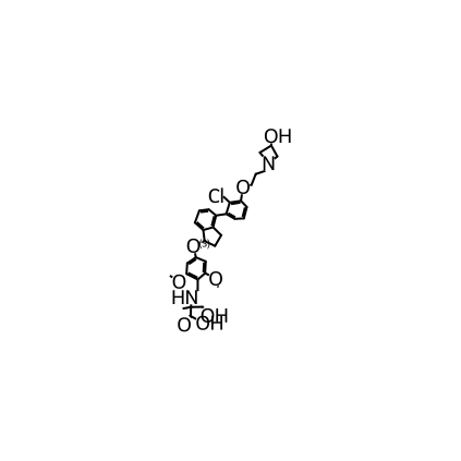 COc1cc(O[C@H]2CCc3c(-c4cccc(OCCCN5CC(O)C5)c4Cl)cccc32)cc(OC)c1CNC(C)(CO)C(=O)O